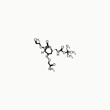 C=CCON1C(=O)N2C[C@H]1/C(=N/OCC(N)=O)C[C@H]2CNC(=O)OC(C)(C)C